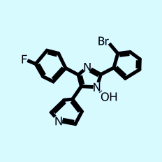 On1c(-c2ccccc2Br)nc(-c2ccc(F)cc2)c1-c1ccncc1